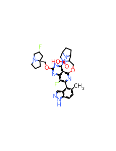 Cc1ccc2[nH]ncc2c1-c1nc2c3c(nc(OC[C@@]45CCCN4C[C@H](F)C5)nc3c1F)N1CC3CCC(C1CO2)N3C(=O)O